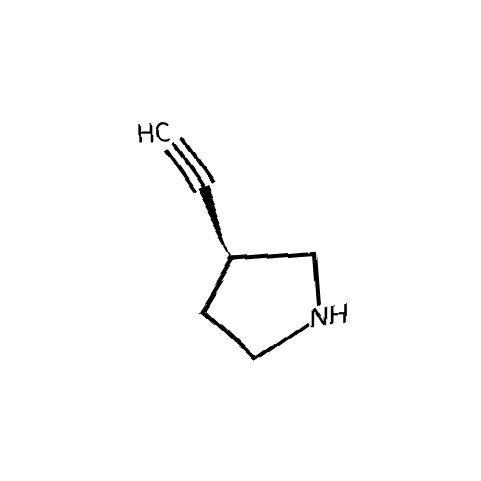 C#C[C@@H]1CCNC1